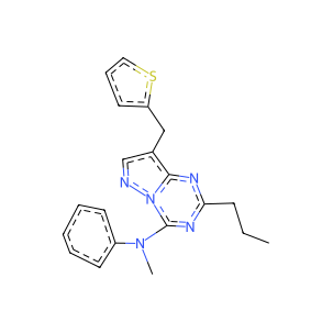 CCCc1nc(N(C)c2ccccc2)n2ncc(Cc3cccs3)c2n1